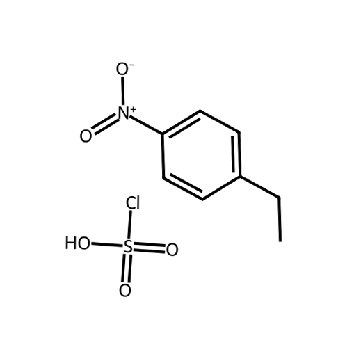 CCc1ccc([N+](=O)[O-])cc1.O=S(=O)(O)Cl